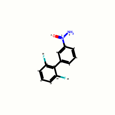 N[N+](=O)c1[c]ccc(-c2c(F)cccc2F)c1